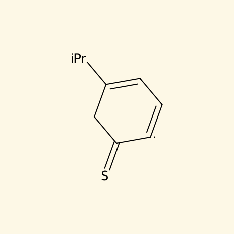 CC(C)C1=CC=[C]C(=S)C1